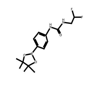 CC1(C)OB(c2ccc(NC(=O)NCC(F)F)cc2)OC1(C)C